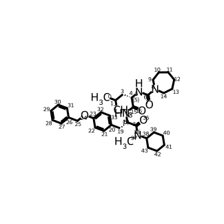 CC(C)C[C@H](NC(=O)N1CCCCCC1)C(=O)N[C@@H](Cc1ccc(OCc2ccccc2)cc1)C(=O)N(C)C1CCCCC1